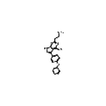 NCCc1nc(N)c2c(-c3ccc(Oc4ccccc4)cc3)n[nH]c2n1